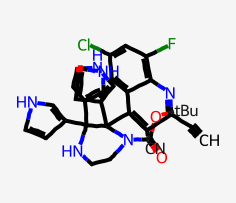 C#Cc1nc2c(F)cc(Cl)cc2c(C2(c3cc[nH]c3)N(C(=O)OC(C)(C)C)CCNC2(c2cc[nH]c2)c2cc[nH]c2)c1C#N